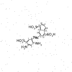 Nc1cc(N)c(S(=O)(=O)O)cc1N=Nc1cc(S(=O)(=O)O)c2cccc(S(=O)(=O)O)c2c1